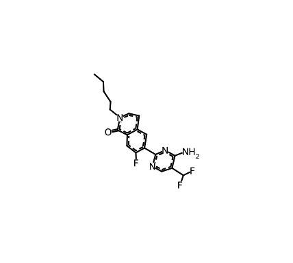 CCCCCn1ccc2cc(-c3ncc(C(F)F)c(N)n3)c(F)cc2c1=O